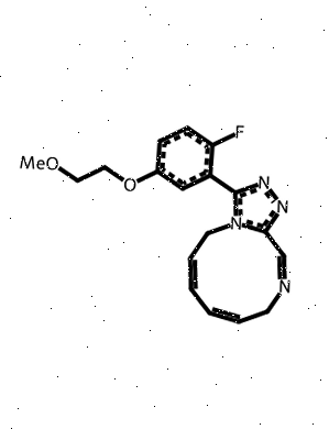 COCCOc1ccc(F)c(-c2nnc3n2C/C=C\C=C/C/N=C\3)c1